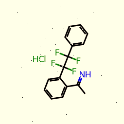 CC(=N)c1ccccc1C(F)(F)C(F)(F)c1ccccc1.Cl